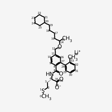 CSCC[C@H](NC(=O)c1ccc(COC(C)CCCCC2CCCCC2)cc1-c1ccccc1C)C(=O)[O-].[Li+]